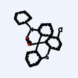 Clc1ccc2c(c1)C1(c3ccccc3S2)c2ccccc2N(c2ccccc2)c2ccccc21